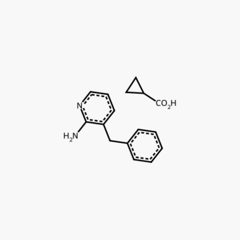 Nc1ncccc1Cc1ccccc1.O=C(O)C1CC1